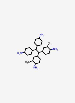 CC1CC(C(C2CCC(N)C(C)C2)C(C2CCC(N)CC2)C2CCC(N)CC2)CCC1N